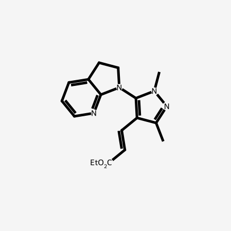 CCOC(=O)/C=C/c1c(C)nn(C)c1N1CCc2cccnc21